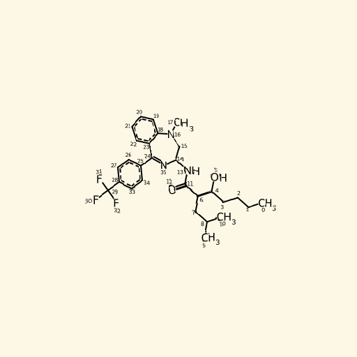 CCCCC(O)C(CC(C)C)C(=O)NC1CN(C)c2ccccc2C(c2ccc(C(F)(F)F)cc2)=N1